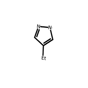 CCC1=C[N]N=C1